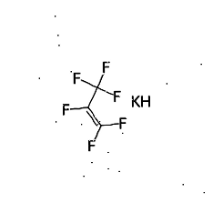 FC(F)=C(F)C(F)(F)F.[KH]